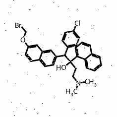 CN(C)CCC(O)(c1cccc2ccccc12)C(c1ccc(Cl)cc1)c1ccc2ccc(OCBr)cc2c1